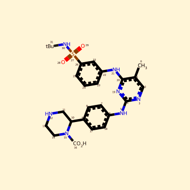 Cc1cnc(Nc2ccc(C3CNCCN3C(=O)O)cc2)nc1Nc1cccc(S(=O)(=O)NC(C)(C)C)c1